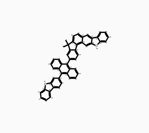 CC1(C)c2cc(-c3c4ccccc4c(-c4ccc5c(c4)oc4ccccc45)c4ccccc34)ccc2-c2c1ccc1cc3c(cc21)oc1ccccc13